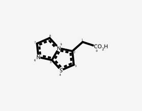 O=C(O)Cc1csc2nccn12